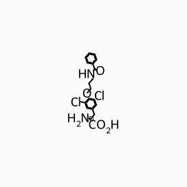 N[C@@H](Cc1cc(Cl)c(OCCCNC(=O)c2ccccc2)c(Cl)c1)C(=O)O